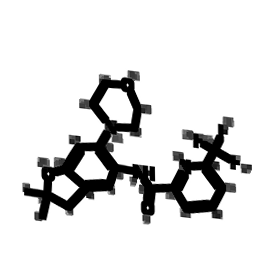 CC1(C)Cc2cc(NC(=O)c3cccc(C(F)(F)F)n3)c(N3CCOCC3)cc2O1